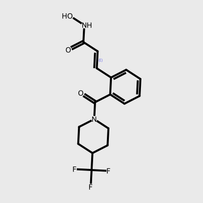 O=C(/C=C/c1ccccc1C(=O)N1CCC(C(F)(F)F)CC1)NO